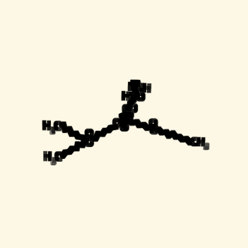 CCCCCCCCCCCOC(=O)CCCCCN1CC(OC(=O)CCNC(=O)c2ncc[nH]2)C[C@H]1C(=O)OCCCCCCCC(=O)OC(CCCCCCCC)CCCCCCCC